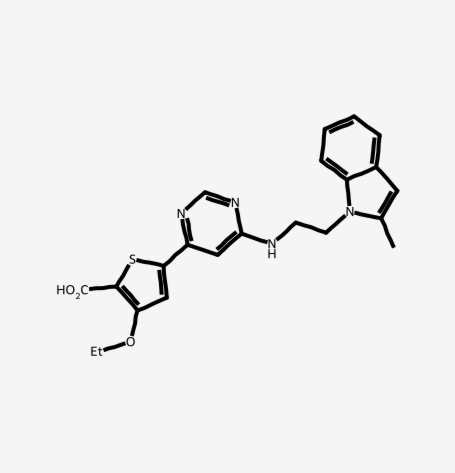 CCOc1cc(-c2cc(NCCn3c(C)cc4ccccc43)ncn2)sc1C(=O)O